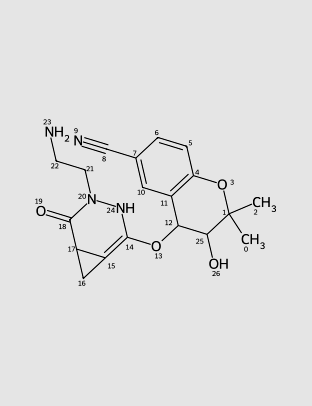 CC1(C)Oc2ccc(C#N)cc2C(OC2=C3CC3C(=O)N(CCN)N2)C1O